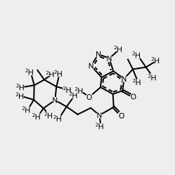 [2H]Oc1c(C(=O)N([2H])CCC([2H])([2H])N2C([2H])([2H])C([2H])([2H])C([2H])([2H])C([2H])(C)C2([2H])[2H])c(=O)n(C([2H])(C)C([2H])([2H])[2H])c2c1nnn2[2H]